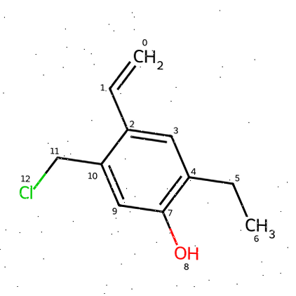 C=Cc1cc(CC)c(O)cc1CCl